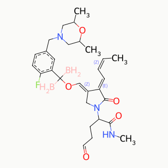 BC(B)(O\C=C1/CN(C(CCC=O)C(=O)NC)C(=O)/C1=C/C=C\C)c1cc(CN2CC(C)OC(C)C2)ccc1F